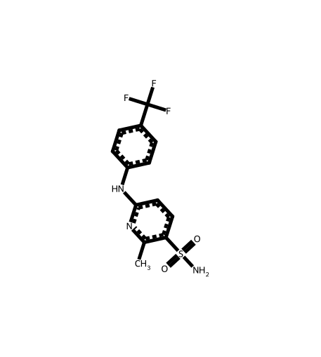 Cc1nc(Nc2ccc(C(F)(F)F)cc2)ccc1S(N)(=O)=O